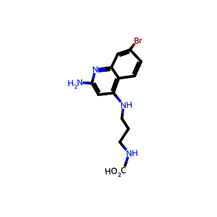 Nc1cc(NCCCNC(=O)O)c2ccc(Br)cc2n1